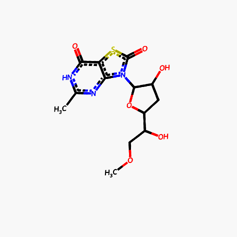 COCC(O)C1CC(O)C(n2c(=O)sc3c(=O)[nH]c(C)nc32)O1